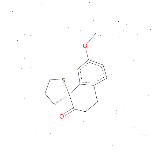 COc1ccc2c(c1)[C@@]1(CCCS1)C(=O)CC2